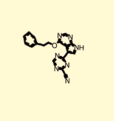 N#Cc1ncnc(-c2c[nH]c3ncnc(OCCc4ccccc4)c23)n1